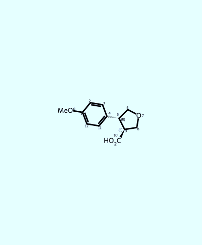 COc1ccc([C@@H]2COC[C@H]2C(=O)O)cc1